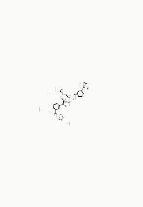 Cc1ccc(-c2c(C)nn3c(NCc4cccc(-c5nccn5C)c4)cc(C(C)(C)O)nc23)cc1C(=O)N1CCC(O)C1